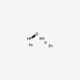 O=P.[Fe].[KH].[V].[Zn]